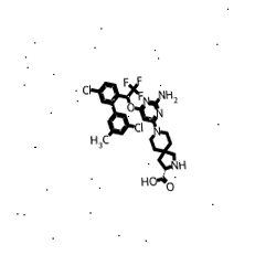 Cc1cc(Cl)cc(-c2cc(Cl)ccc2C(Oc2cc(N3CCC4(CC3)CN[C@H](C(=O)O)C4)nc(N)n2)C(F)(F)F)c1